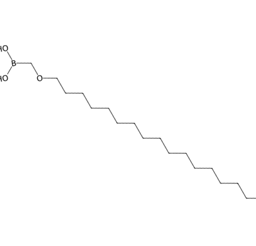 CCCCCCCCCCCCCCCCCOCB(O)O